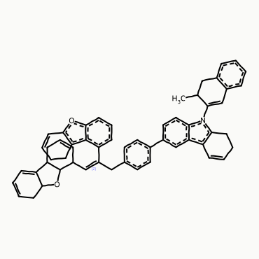 CC1Cc2ccccc2C=C1n1c2c(c3cc(-c4ccc(C/C(=C/C5C=CCC6C7=CC=CCC7OC56)c5cccc6oc7c(c56)CCC=C7)cc4)ccc31)C=CCC2